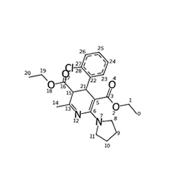 CCOC(=O)C1=C(N2CCCC2)N=C(C)C(C(=O)OCC)C1c1ccccc1Cl